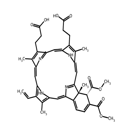 C=Cc1c(C)c2cc3nc(cc4[nH]c(cc5nc(cc1[nH]2)C(C)=C5CCC(=O)O)c(CCC(=O)O)c4C)[C@@]1(C)C3=CC=C(C(=O)OC)[C@H]1C(=O)OC